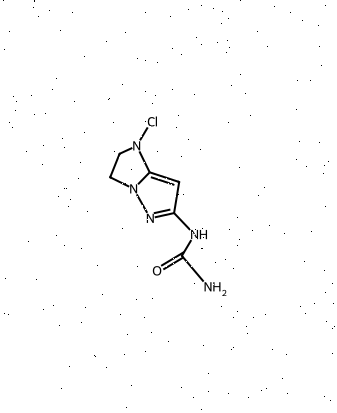 NC(=O)Nc1cc2n(n1)CCN2Cl